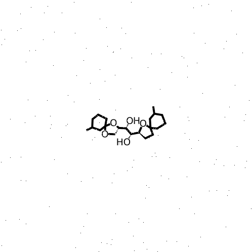 CC1CCCC2(CC[C@@H]([C@H](O)[C@@H](O)[C@@H]3COC4(CCCC(C)C4)O3)O2)C1